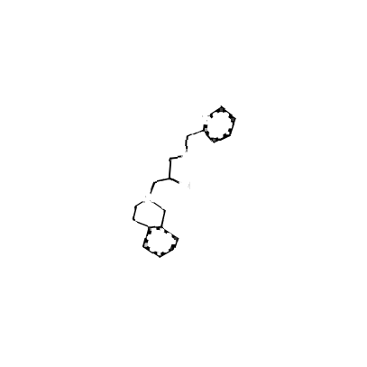 OC(COCc1ccccn1)CN1CCc2ccccc2C1